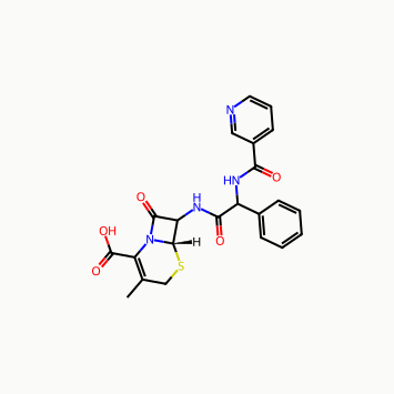 CC1=C(C(=O)O)N2C(=O)C(NC(=O)C(NC(=O)c3cccnc3)c3ccccc3)[C@@H]2SC1